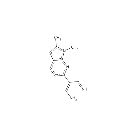 Cc1cc2ccc(/C(C=N)=C/N)nc2n1C